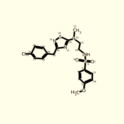 COc1ccc(S(=O)(=O)NCCN(C)c2nc(Cc3ccc(Cl)cc3)ns2)cc1